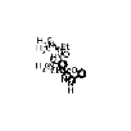 CCN(CCN(C)C)C(=O)Nc1ccc(-c2cnc3[nH]cc(-c4ccccc4OC)c3c2)cc1C(=O)N(C)C